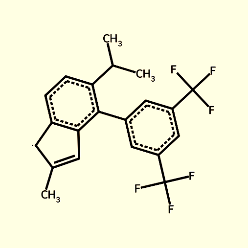 CC1=Cc2c(ccc(C(C)C)c2-c2cc(C(F)(F)F)cc(C(F)(F)F)c2)[CH]1